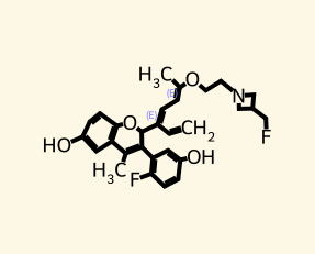 C=C/C(=C\C=C(/C)OCCN1CC(CF)C1)C1Oc2ccc(O)cc2C(C)=C1c1cc(O)ccc1F